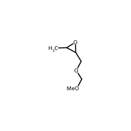 COCOCC1OC1C